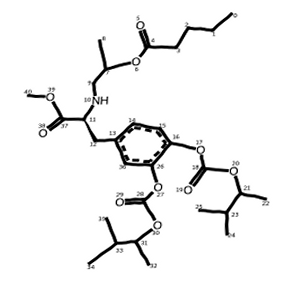 CCCCC(=O)OC(C)CN[C@@H](Cc1ccc(OC(=O)OC(C)C(C)C)c(OC(=O)OC(C)C(C)C)c1)C(=O)OC